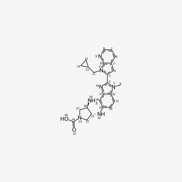 Cn1c(-c2cc3cccnc3n2CC2CC2)nc2cc(N[C@@H]3CN(C(=O)O)C[C@H]3N)ccc21